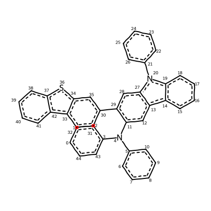 c1ccc(N(c2ccccc2)c2cc3c4ccccc4n(-c4ccccc4)c3cc2-c2ccc3c(c2)sc2ccccc23)cc1